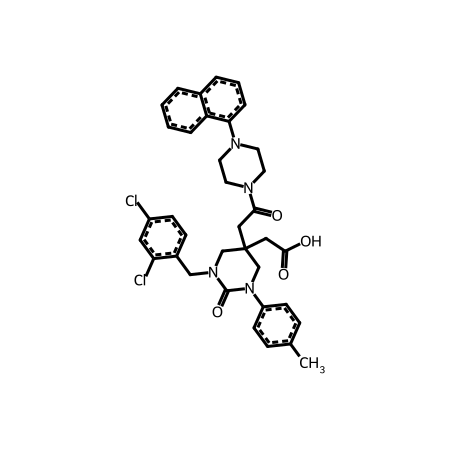 Cc1ccc(N2CC(CC(=O)O)(CC(=O)N3CCN(c4cccc5ccccc45)CC3)CN(Cc3ccc(Cl)cc3Cl)C2=O)cc1